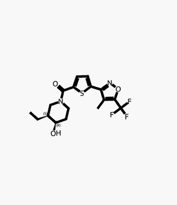 CC[C@H]1CN(C(=O)c2ccc(-c3noc(C(F)(F)F)c3C)s2)CC[C@H]1O